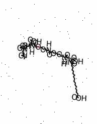 CC(C)C(=O)CC[C@H](NC(=O)CC[C@H](NC(=O)COCCOCCNC(=O)COCCOCCNC(=O)CC[C@H](NC(=O)CCCCCCCCCCCCCCCCC(=O)O)C(=O)O)C(=O)O)C(=O)O